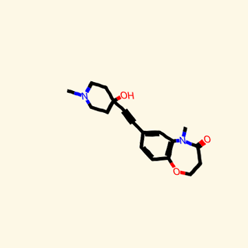 CN1CCC(O)(C#Cc2ccc3c(c2)N(C)C(=O)CCO3)CC1